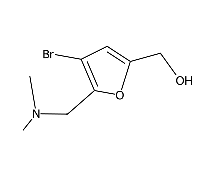 CN(C)Cc1oc(CO)cc1Br